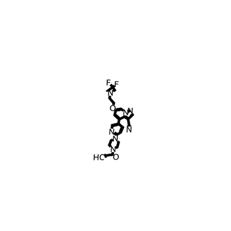 C#CC(=O)N1CCN(c2ccc(-c3cc(OCCN4CC(F)(F)C4)cn4ncc(C#N)c34)cn2)CC1